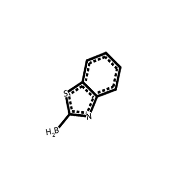 Bc1nc2ccccc2s1